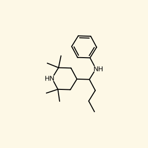 CCCC(Nc1ccccc1)C1CC(C)(C)NC(C)(C)C1